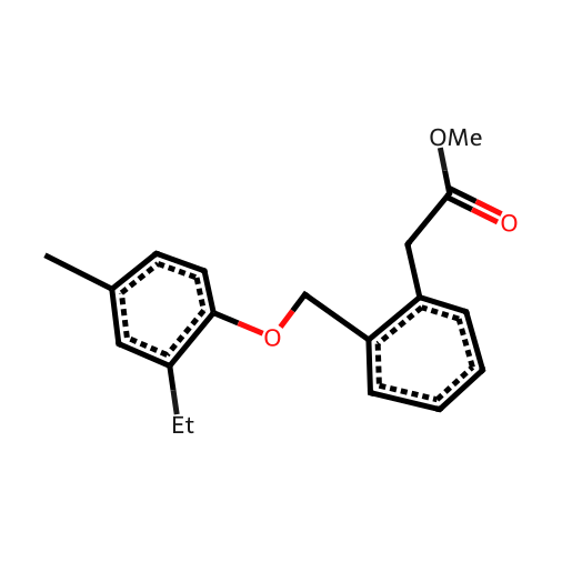 CCc1cc(C)ccc1OCc1ccccc1CC(=O)OC